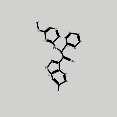 COc1cncc(NC(C(=O)c2c[nH]c3cc(F)ccc23)c2ccccc2)n1